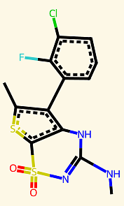 CNC1=NS(=O)(=O)c2sc(C)c(-c3cccc(Cl)c3F)c2N1